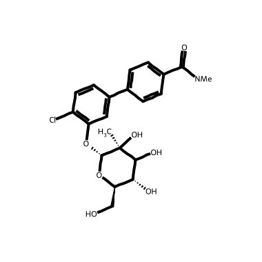 CNC(=O)c1ccc(-c2ccc(Cl)c(O[C@H]3O[C@H](CO)[C@@H](O)C(O)[C@]3(C)O)c2)cc1